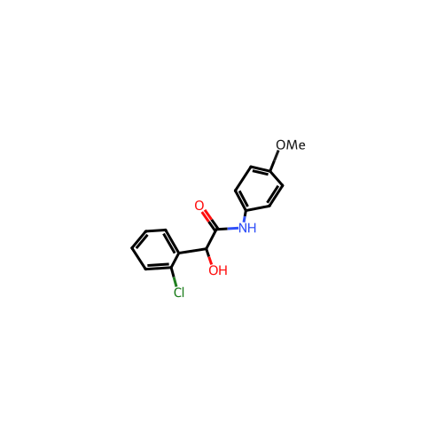 COc1ccc(NC(=O)C(O)c2ccccc2Cl)cc1